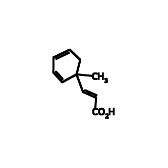 CC1(/C=C/C(=O)O)C=CC=CC1